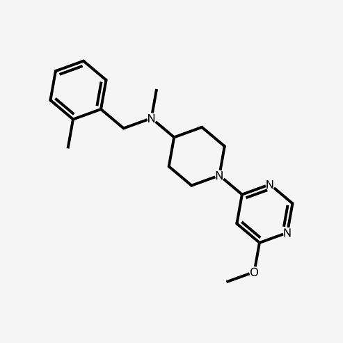 COc1cc(N2CCC(N(C)Cc3ccccc3C)CC2)ncn1